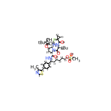 Cc1ncsc1-c1ccc([C@H](CCCCCOS(C)(=O)=O)NC(=O)[C@@H]2C[C@@H](O[Si](C)(C)C(C)(C)C)CN2C(=O)[C@@H](NC(=O)C2(F)CC2)C(C)(C)C)cc1